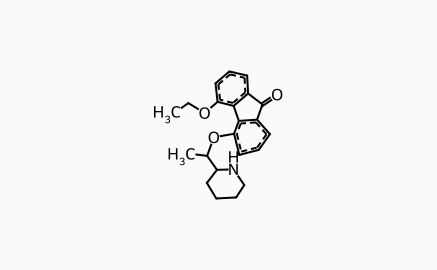 CCOc1cccc2c1-c1c(OC(C)C3CCCCN3)cccc1C2=O